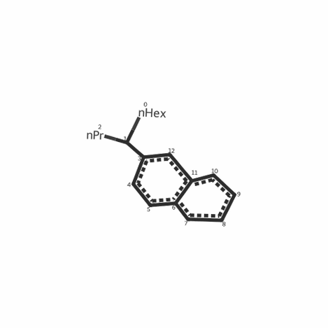 CCCCCCC(CCC)c1ccc2ccccc2c1